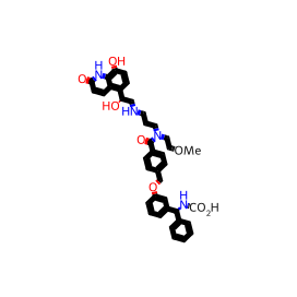 COCCN(CCCNC[C@H](O)c1ccc(O)c2[nH]c(=O)ccc12)C(=O)c1ccc(COc2cccc([C@@H](NC(=O)O)c3ccccc3)c2)cc1